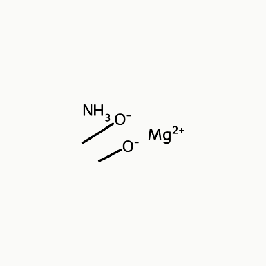 C[O-].C[O-].N.[Mg+2]